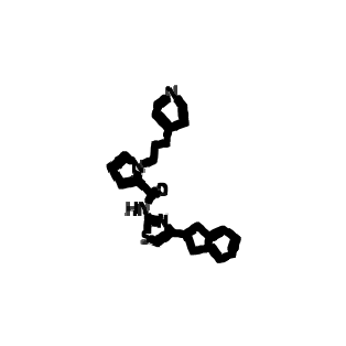 O=C(Nc1nc(C2Cc3ccccc3C2)cs1)c1cccn1CCCc1ccncc1